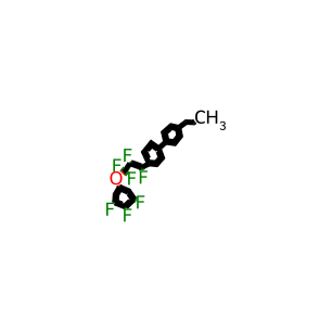 CCCc1ccc(-c2ccc(/C(F)=C(\F)C(F)(F)Oc3cc(F)c(F)c(F)c3)cc2)cc1